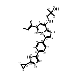 CC=C(C)c1cc(NCC(C)(C)O)c2ncc(-c3ccc(-c4cnc(C5CC5)[nH]4)cc3)n2n1